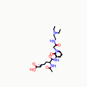 CCN(CC)CCNC(=O)Cn1cccc(NC(=O)C(CC/C=C/C(=O)O)NC(C)=O)c1=O